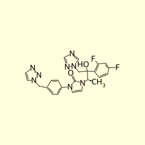 C[C@@H](n1ccn(-c2ccc(Cn3ccnn3)cc2)c1=O)C(O)(Cn1cncn1)c1ccc(F)cc1F